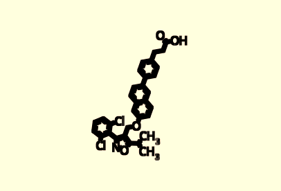 CC(C)c1onc(-c2c(Cl)cccc2Cl)c1COc1ccc2cc(-c3ccc(CCC(=O)O)cc3)ccc2c1